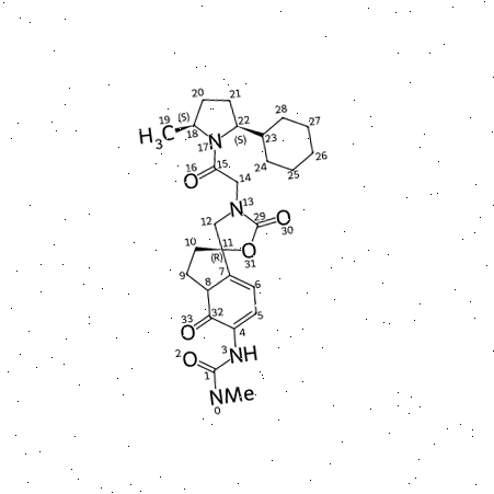 CNC(=O)NC1=CC=C2C(CC[C@]23CN(CC(=O)N2[C@@H](C)CC[C@H]2C2CCCCC2)C(=O)O3)C1=O